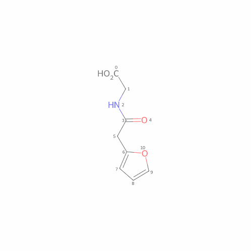 O=C(O)CNC(=O)Cc1ccco1